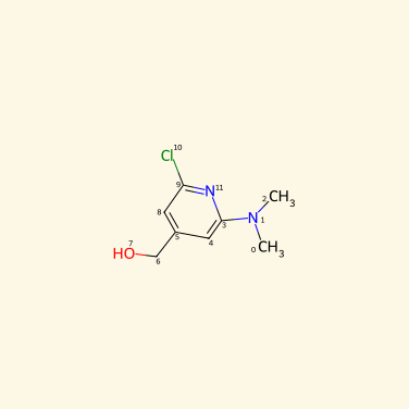 CN(C)c1cc(CO)cc(Cl)n1